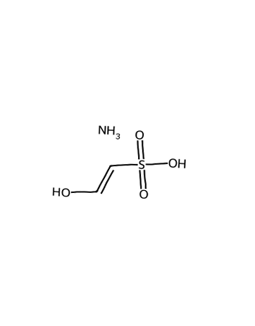 N.O=S(=O)(O)C=CO